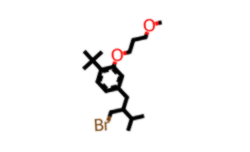 COCCCOc1cc(CC(CBr)C(C)C)ccc1C(C)(C)C